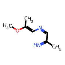 CO/C(C)=C/N=C\C(C)=N